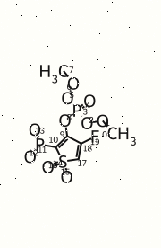 COOP(=O)(OOC)OC1=C(P(=O)=O)S(=O)(=O)C=C1F